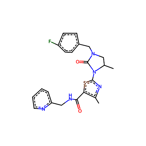 Cc1nc(N2C(=O)N(Cc3ccc(F)cc3)CC2C)sc1C(=O)NCc1ccccn1